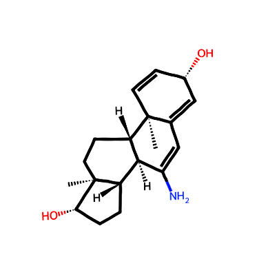 C[C@]12CC[C@H]3[C@@H](C(N)=CC4=C[C@@H](O)C=C[C@@]43C)[C@@H]1CC[C@@H]2O